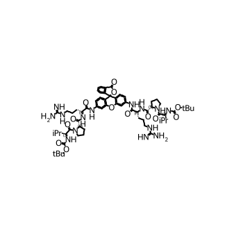 CC(C)[C@H](NC(=O)OC(C)(C)C)C(=O)N1CCC[C@H]1C(=O)N[C@H](CCCNC(=N)N)C(=O)Nc1ccc2c(c1)Oc1cc(NC(=O)[C@@H](CCCNC(=N)N)NC(=O)[C@@H]3CCCN3C(=O)[C@@H](NC(=O)OC(C)(C)C)C(C)C)ccc1C21OC(=O)c2ccccc21